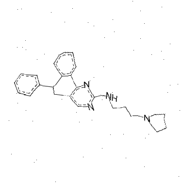 c1ccc(C2Cc3cnc(NCCCN4CCCC4)nc3-c3ccccc32)cc1